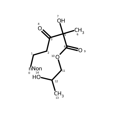 CCCCCCCCCCCC(=O)C(C)(O)C(=O)OCC(C)O